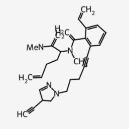 C#CC1C=NN(CCCC#Cc2cccc(C=C)c2C(=C)N(C)C(CCC=C)C(=C)NC)C1